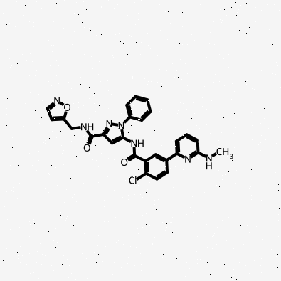 CNc1cccc(-c2ccc(Cl)c(C(=O)Nc3cc(C(=O)NCc4ccno4)nn3-c3ccccc3)c2)n1